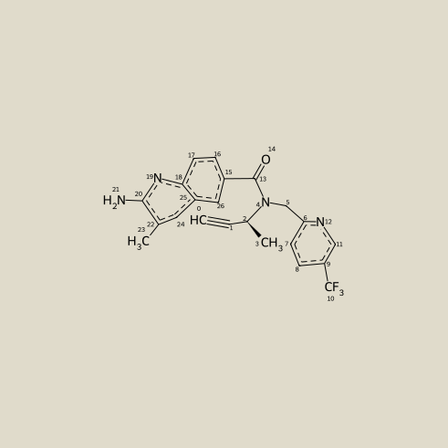 C#C[C@H](C)N(Cc1ccc(C(F)(F)F)cn1)C(=O)c1ccc2nc(N)c(C)cc2c1